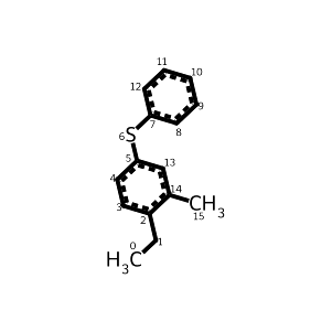 CCc1ccc(Sc2ccccc2)cc1C